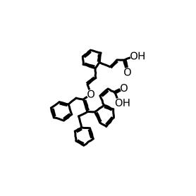 O=C(O)C=Cc1ccccc1C=COC(Cc1ccccc1)=C(Cc1ccccc1)c1ccccc1C=CC(=O)O